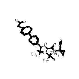 C.CC(C)(F)C[C@H](N[C@@H](c1ccc(-c2ccc(CC(=O)O)cc2)cc1)C(F)(F)F)C(=O)NC1(C#N)CC1